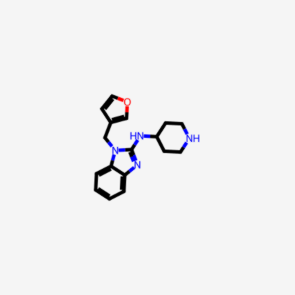 c1ccc2c(c1)nc(NC1CCNCC1)n2Cc1ccoc1